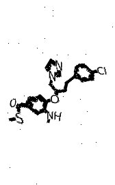 CNc1cc(C(=O)SC)ccc1OC(CCc1ccc(Cl)cc1)Cn1ccnc1